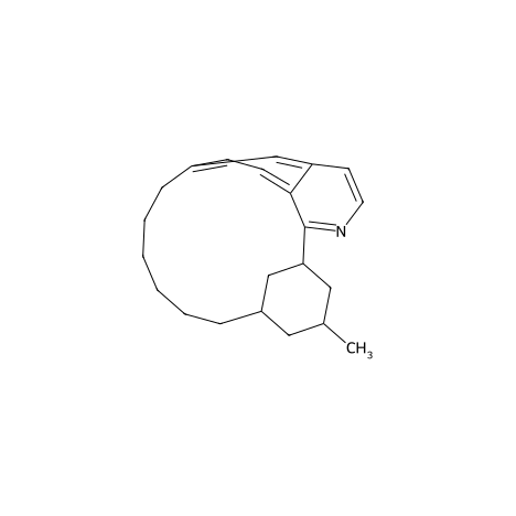 CC1CC2CCCCCCc3ccc4c(nccc4c3)C(C1)C2